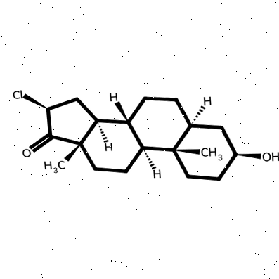 C[C@]12CC[C@H](O)C[C@@H]1CC[C@@H]1[C@@H]2CC[C@]2(C)C(=O)[C@@H](Cl)C[C@@H]12